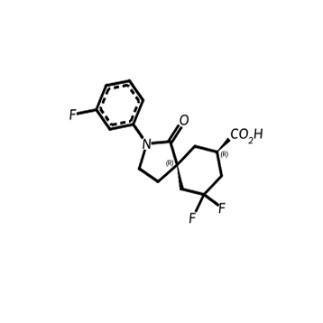 O=C(O)[C@H]1CC(F)(F)C[C@]2(CCN(c3cccc(F)c3)C2=O)C1